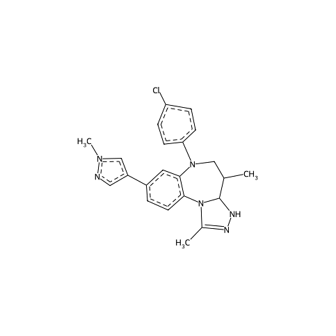 CC1=NNC2C(C)CN(c3ccc(Cl)cc3)c3cc(-c4cnn(C)c4)ccc3N12